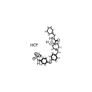 CC1(C(=O)NCC2CCCCC2)CCN(Cc2ccc(Oc3ccc(NS(C)(=O)=O)cc3)cc2)CC1.Cl